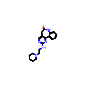 O=C1Cc2cnc(NCCN3CCCCC3)nc2-c2ccccc2N1